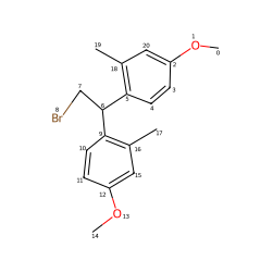 COc1ccc(C(CBr)c2ccc(OC)cc2C)c(C)c1